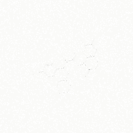 Cc1cc2c(cc1C)N(CC(=O)N(C)C(CN1CCOCC1)c1ccc(Br)cc1)C(=O)CO2